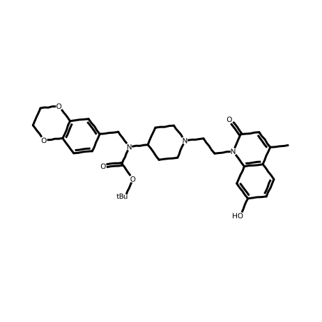 Cc1cc(=O)n(CCN2CCC(N(Cc3ccc4c(c3)OCCO4)C(=O)OC(C)(C)C)CC2)c2cc(O)ccc12